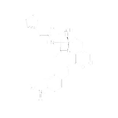 COC1(NC(=O)Cc2ccco2)C(=O)N2C(C(=O)OCc3ccc([N+](=O)[O-])cc3)=C(CCl)CS[C@H]21